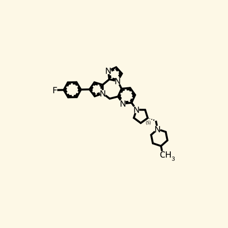 CC1CCN(C[C@@H]2CCN(c3ccc4c(n3)Cn3cc(-c5ccc(F)cc5)cc3-c3nccn3-4)C2)CC1